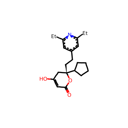 CCc1cc(CC[C@]2(C3CCCC3)CC(O)=CC(=O)O2)cc(CC)n1